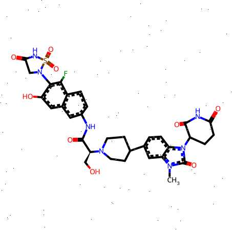 Cn1c(=O)n(C2CCC(=O)NC2=O)c2ccc(C3CCN([C@@H](CO)C(=O)Nc4ccc5c(F)c(N6CC(=O)NS6(=O)=O)c(O)cc5c4)CC3)cc21